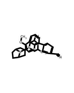 COc1c(N2C3CCC2CC(N2CC(C)OC(C)C2)C3)cnc2c(-c3ccc(C#N)cc3)cccc12